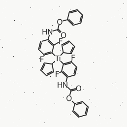 O=C(Nc1ccc(F)[c]([Ti]([c]2c(F)ccc(NC(=O)Oc3ccccc3)c2F)([CH]2C=CC=C2)[CH]2C=CC=C2)c1F)Oc1ccccc1